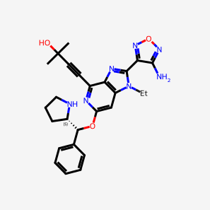 CCn1c(-c2nonc2N)nc2c(C#CC(C)(C)O)nc(OC(c3ccccc3)[C@@H]3CCCN3)cc21